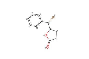 O=C1CCC(C(Br)c2ccccc2)O1